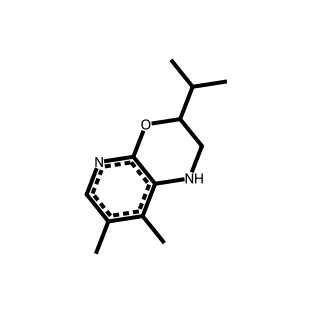 Cc1cnc2c(c1C)NCC(C(C)C)O2